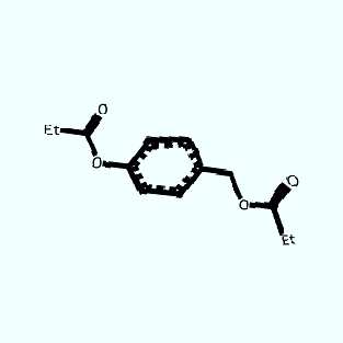 CCC(=O)OCc1ccc(OC(=O)CC)cc1